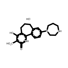 Cl.O=C(O)c1c(O)c2c([nH]c1=O)-c1ccc(N3CCCNCC3)cc1CCC2